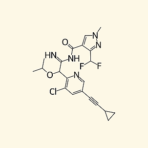 CC(C)OC(C(=N)NC(=O)c1cn(C)nc1C(F)F)c1ncc(C#CC2CC2)cc1Cl